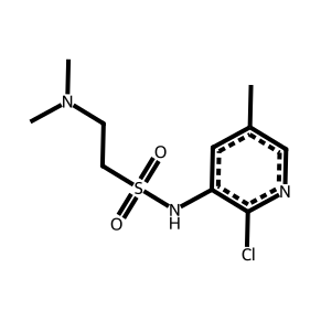 Cc1cnc(Cl)c(NS(=O)(=O)CCN(C)C)c1